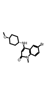 CO[C@H]1CC[C@H](Nc2cc(=O)n(C)c3ccc(Br)cc23)CC1